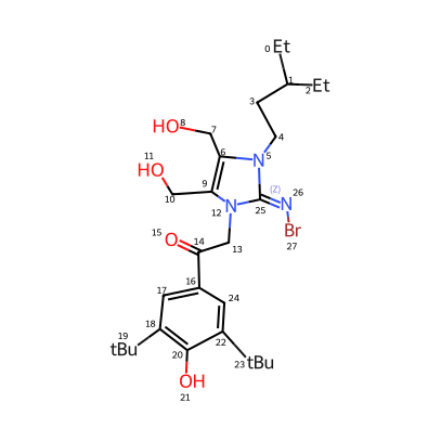 CCC(CC)CCn1c(CO)c(CO)n(CC(=O)c2cc(C(C)(C)C)c(O)c(C(C)(C)C)c2)/c1=N\Br